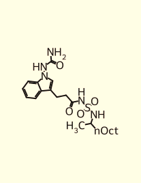 CCCCCCCCC(C)NS(=O)(=O)NC(=O)CCc1cn(NC(N)=O)c2ccccc12